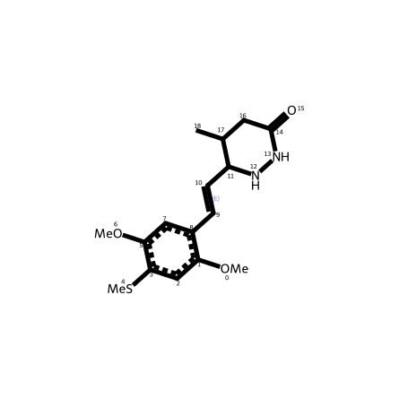 COc1cc(SC)c(OC)cc1/C=C/C1NNC(=O)CC1C